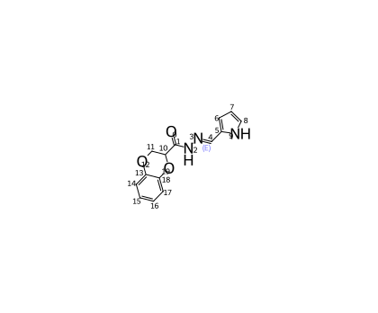 O=C(N/N=C/c1ccc[nH]1)C1COc2ccccc2O1